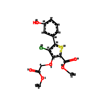 CC(C)(C)OC(=O)COc1c(C(=O)OC(C)(C)C)sc(-c2cccc(O)c2)c1Cl